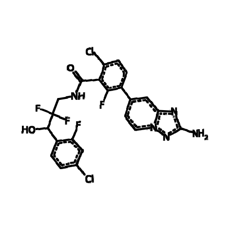 Nc1nc2cc(-c3ccc(Cl)c(C(=O)NCC(F)(F)C(O)c4ccc(Cl)cc4F)c3F)ccn2n1